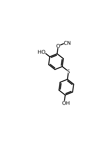 N#COc1cc(Sc2ccc(O)cc2)ccc1O